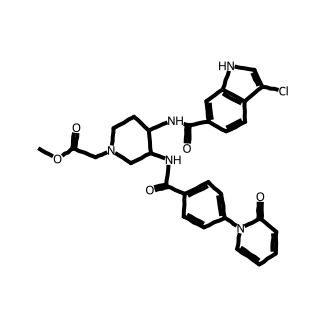 COC(=O)CN1CCC(NC(=O)c2ccc3c(Cl)c[nH]c3c2)C(NC(=O)c2ccc(-n3ccccc3=O)cc2)C1